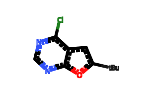 CC(C)(C)c1cc2c(Cl)ncnc2o1